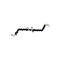 CCCCCC/C=C\CCCCCCCC(=O)NCCNC(=O)CCCCCCC/C=C\CCCCCC